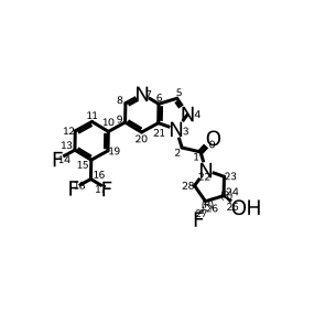 O=C(Cn1ncc2ncc(-c3ccc(F)c(C(F)F)c3)cc21)N1C[C@@H](O)[C@H](F)C1